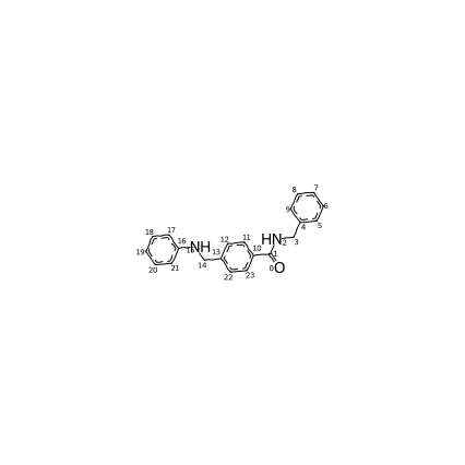 O=C(NCc1ccccc1)c1ccc(CNc2ccccc2)cc1